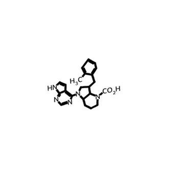 Cc1ccccc1CC1CN(c2ncnc3[nH]ccc23)C2CCCN(C(=O)O)C12